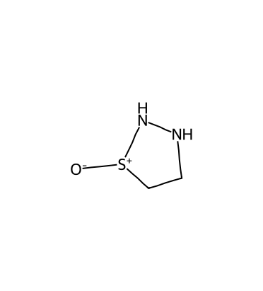 [O-][S+]1CCNN1